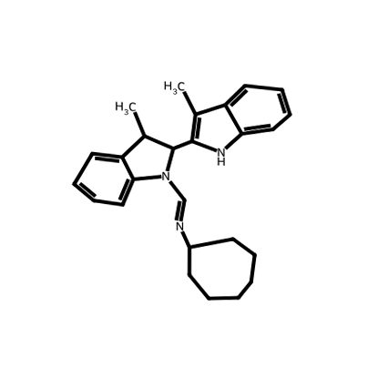 Cc1c(C2C(C)c3ccccc3N2C=NC2CCCCCC2)[nH]c2ccccc12